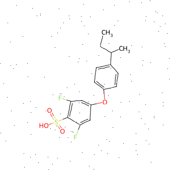 CCC(C)c1ccc(Oc2cc(F)c(S(=O)(=O)O)c(F)c2)cc1